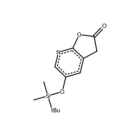 CC(C)(C)[Si](C)(C)Oc1cnc2c(c1)CC(=O)O2